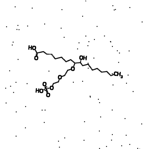 CCCCCCCCC(O)C(CCCCCCCC(=O)O)OCCOCCOS(=O)(=O)O